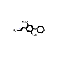 COc1cc(N2CCOCC2)c(OC)cc1/C=C/N